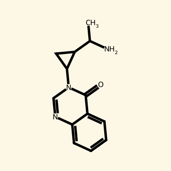 CC(N)C1CC1n1cnc2ccccc2c1=O